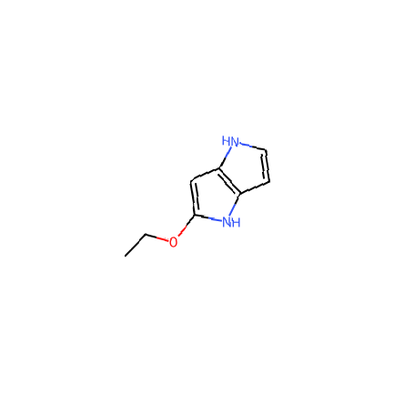 CCOc1cc2[nH]ccc2[nH]1